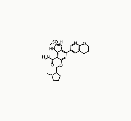 CN1CCCC1COc1cc(-c2cnc3c(c2)CCCO3)c2nc[nH]c2c1C(N)=O.CS(=O)(=O)O